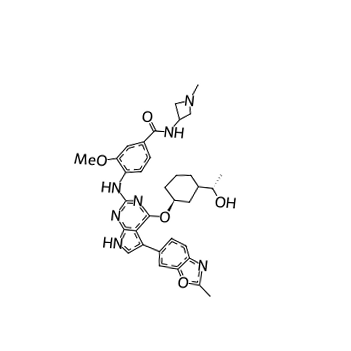 COc1cc(C(=O)NC2CN(C)C2)ccc1Nc1nc(O[C@H]2CCCC([C@H](C)O)C2)c2c(-c3ccc4nc(C)oc4c3)c[nH]c2n1